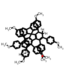 [2H]C1([2H])C(c2ccc(OC)cc2)=C(c2ccc(OC)cc2)C2=C(C1c1ccc(OC)cc1)C1(c3ccccc3-c3cccc(-c4ccc(OC)cc4)c31)c1c2c(-c2ccc(OC)cc2)c(-c2ccc(OC)cc2)c(-c2ccc(OC)cc2)c1-c1ccc(OC)cc1